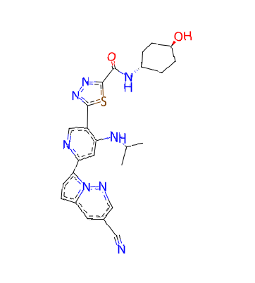 CC(C)Nc1cc(-c2ccc3cc(C#N)cnn23)ncc1-c1nnc(C(=O)N[C@H]2CC[C@H](O)CC2)s1